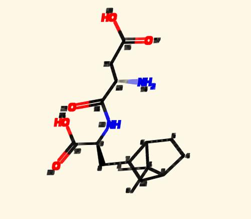 CC1(C)C2CCC1C(C[C@H](NC(=O)[C@@H](N)CC(=O)O)C(=O)O)C2